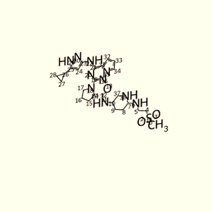 CS(=O)(=O)CCNC1CCC(NC(=O)[C@@H]2CCCN2c2nc(Nc3cc(C4CC4)[nH]n3)c3cccn3n2)CN1